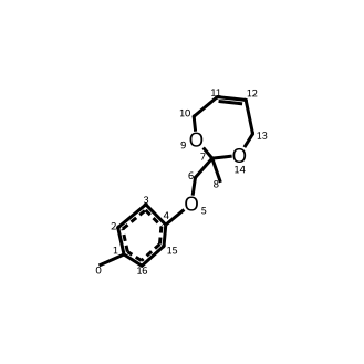 Cc1ccc(OCC2(C)OCC=CCO2)cc1